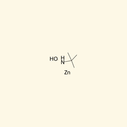 CC(C)(C)NO.[Zn]